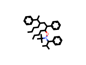 CCCCC(CC(c1ccccc1)C(CCCC)ON(C(c1ccccc1)C(C)C)C(C)(C)C)C(C)c1ccccc1